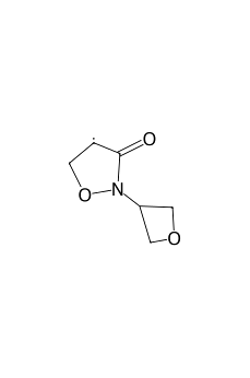 O=C1[CH]CON1C1COC1